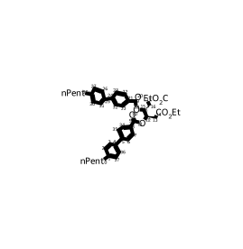 CCCCCc1ccc(-c2ccc(C(=O)O[C@H](CC(=O)OCC)[C@@H](CC(=O)OCC)OC(=O)c3ccc(-c4ccc(CCCCC)cc4)cc3)cc2)cc1